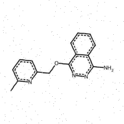 Cc1cccc(COc2nnc(N)c3ccccc23)n1